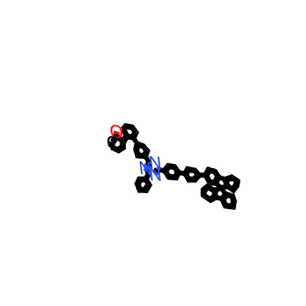 c1ccc(-c2nc(-c3ccc(-c4ccc(-c5ccc6c(c5)C5(c7ccccc7-c7ccccc75)c5ccccc5-6)cc4)cc3)nc(-c3ccc(-c4cccc5oc6ccccc6c45)cc3)n2)cc1